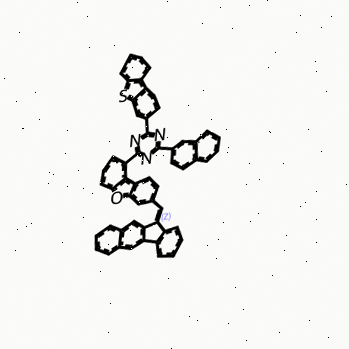 C(=C1\c2ccccc2-c2cc3ccccc3cc21)/c1ccc2c(c1)oc1cccc(-c3nc(-c4ccc5ccccc5c4)nc(-c4ccc5c(c4)sc4ccccc45)n3)c12